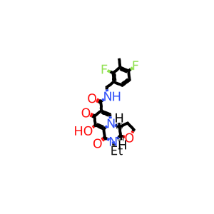 CCN1C(=O)c2c(O)c(=O)c(C(=O)NCc3ccc(F)c(C)c3F)cn2[C@@H]2CCO[C@@H]21